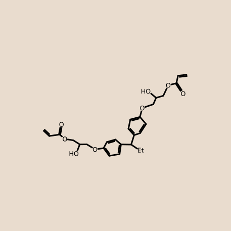 C=CC(=O)OCC(O)COc1ccc(C(CC)c2ccc(OCC(O)COC(=O)C=C)cc2)cc1